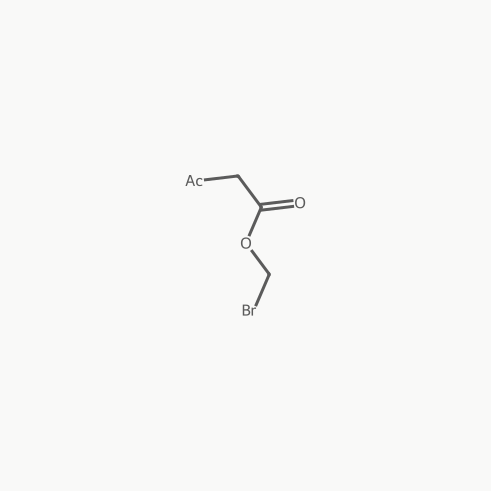 CC(=O)CC(=O)OCBr